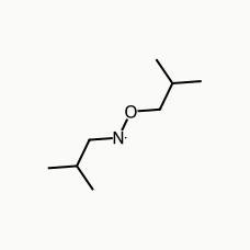 CC(C)C[N]OCC(C)C